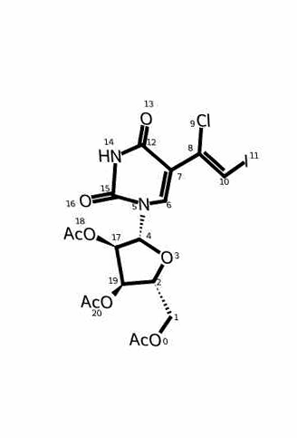 CC(=O)OC[C@H]1O[C@@H](n2cc(C(Cl)=CI)c(=O)[nH]c2=O)[C@H](OC(C)=O)[C@@H]1OC(C)=O